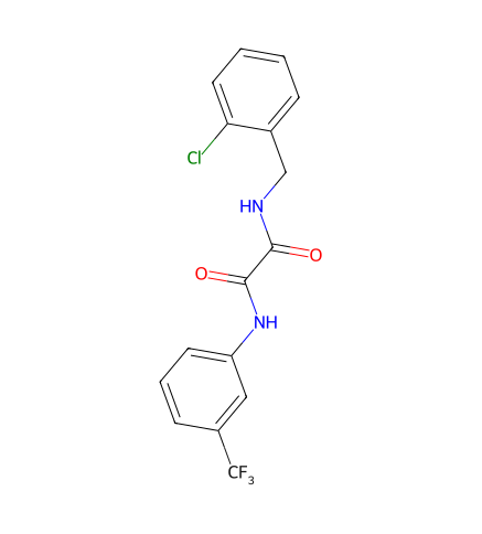 O=C(NCc1ccccc1Cl)C(=O)Nc1cccc(C(F)(F)F)c1